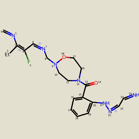 C=N/C(CC)=C(F)\C=N/CN1CCN(C(=O)c2ccccc2N/N=C\C=N)CCO1